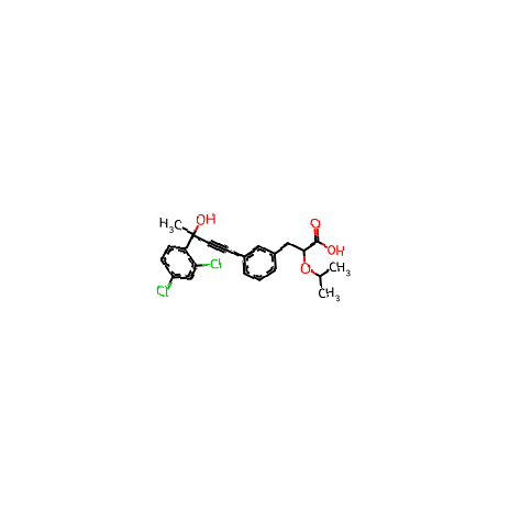 CC(C)OC(Cc1cccc(C#CC(C)(O)c2ccc(Cl)cc2Cl)c1)C(=O)O